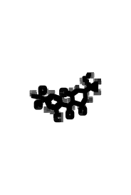 CSC1(C2CC(=O)C(C(=O)c3ccc(S(C)(=O)=O)cc3Cl)C(=O)C2)CC1